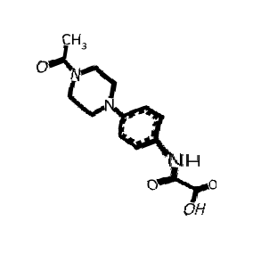 CC(=O)N1CCN(c2ccc(NC(=O)C(=O)O)cc2)CC1